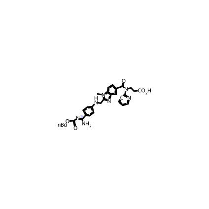 CCCCOC(=O)/N=C(\N)c1ccc(NCc2nc3cc(C(=O)N(CCC(=O)O)c4ccccn4)ccc3n2C)cc1